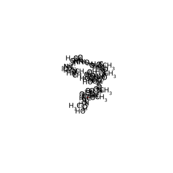 CCc1c2c(nc3ccc(O)cc13)-c1cc3c(c(=O)n1C2)COC(=O)[C@@]3(CC)OC(=O)N(C)CCN(C)C(=O)OCc1ccc(NC(=O)[C@H](C)NC(=O)[C@@H](NC(=O)CCOCCOCCNC(=O)[C@H](C)NC(=O)CCn2c(CN(C)NC)cc3cccnc32)C(C)C)c(O[C@@H]2O[C@H](C(=O)O)[C@@H](O)[C@H](O)[C@H]2O)c1